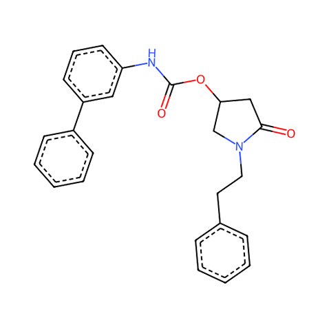 O=C(Nc1cccc(-c2ccccc2)c1)OC1CC(=O)N(CCc2ccccc2)C1